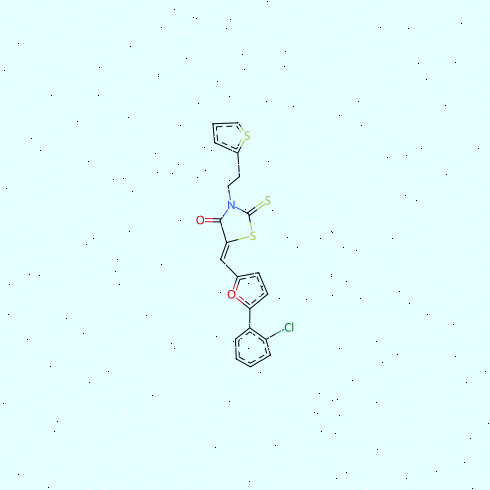 O=C1C(=Cc2ccc(-c3ccccc3Cl)o2)SC(=S)N1CCc1cccs1